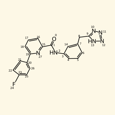 O=C(Nc1cccc(Cc2nnn[nH]2)c1)c1cccc(-c2ccc(F)cc2)n1